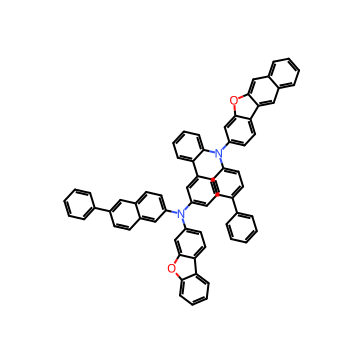 c1ccc(-c2ccc(N(c3ccc4c(c3)oc3cc5ccccc5cc34)c3ccccc3-c3cccc(N(c4ccc5cc(-c6ccccc6)ccc5c4)c4ccc5c(c4)oc4ccccc45)c3)cc2)cc1